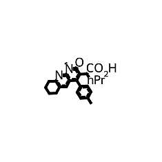 CCCC(C(=O)O)c1c(-c2ccc(C)cc2)c2cc3c(nc2n(C)c1=O)CCCC3